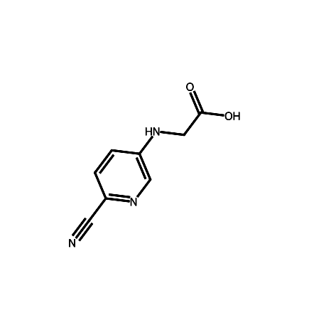 N#Cc1ccc(NCC(=O)O)cn1